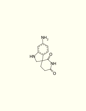 Nc1ccc2c(c1)NCC21CCC(=O)NC1=O